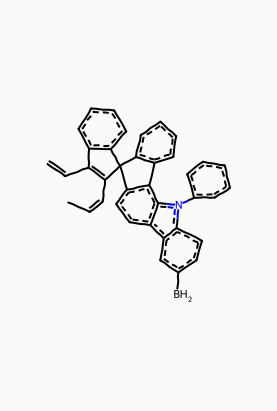 Bc1ccc2c(c1)c1ccc3c(c1n2-c1ccccc1)-c1ccccc1C31C(/C=C\C)=C(C=C)c2ccccc21